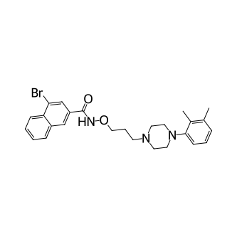 Cc1cccc(N2CCN(CCCONC(=O)c3cc(Br)c4ccccc4c3)CC2)c1C